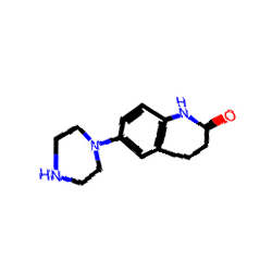 O=C1CCc2cc(N3CCNCC3)ccc2N1